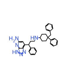 Nc1cc(C(CCNC2CCC(Cc3ccccc3)(c3ccccc3)CC2)c2ccccc2)c2nn[nH]c2n1